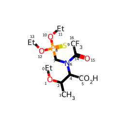 CCOC(C)C(C(=O)O)N(CP(=S)(OCC)OCC)C(=O)C(F)(F)F